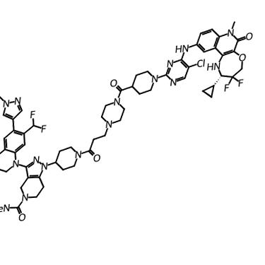 CNC(=O)N1CCc2c(c(N3CCCc4cc(-c5cnn(C)c5)c(C(F)F)cc43)nn2C2CCN(C(=O)CCN3CCN(C(=O)C4CCN(c5ncc(Cl)c(Nc6ccc7c(c6)c6c(c(=O)n7C)OCC(F)(F)[C@H](C7CC7)N6)n5)CC4)CC3)CC2)C1